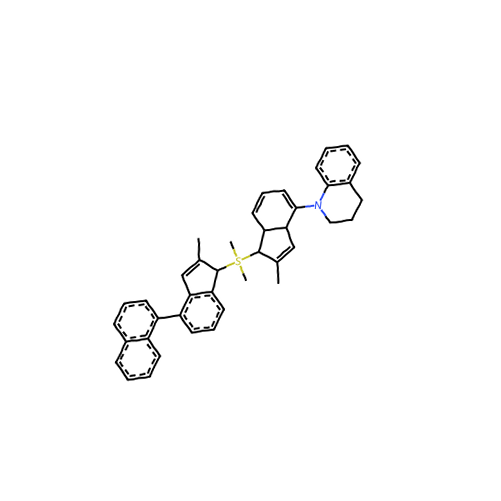 CC1=Cc2c(-c3cccc4ccccc34)cccc2C1S(C)(C)C1C(C)=CC2C(N3CCCc4ccccc43)=CC=CC21